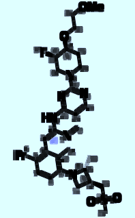 C=N/C(=C\c1c(C(C)C)ccc(N2C[C@H](CS(C)(=O)=O)[C@H]2C)c1C)Nc1ccnc(N2CC[C@H](OCCOC)[C@H](F)C2)n1